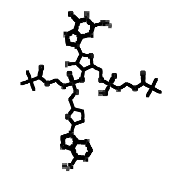 CC(C)(C)C(=O)OCSP(=O)(O)OCC1OC(n2cnc3c(=O)[nH]c(N)nc32)[C@H](F)[C@@H]1OP(=O)(OCC1CCC(n2cnc3c(N)ncnc32)O1)SCOC(=O)C(C)(C)C